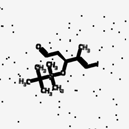 C/C(=C\I)[C@H](CC=O)O[Si](C)(C)C(C)(C)C